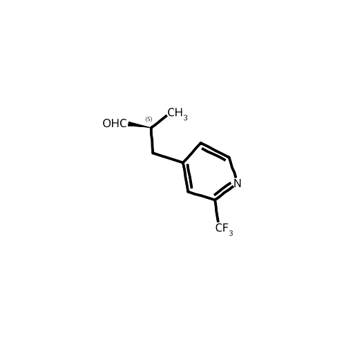 C[C@H](C=O)Cc1ccnc(C(F)(F)F)c1